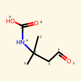 CC(C)(CC=O)NC(=O)O